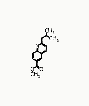 COC(=O)c1ccc2nc(CC(C)C)ccc2c1